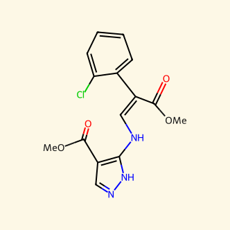 COC(=O)C(=CNc1[nH]ncc1C(=O)OC)c1ccccc1Cl